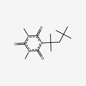 Cn1c(=O)n(C)c(=O)n(C(C)(C)CC(C)(C)C)c1=O